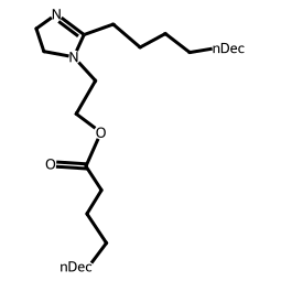 CCCCCCCCCCCCCCC1=NCCN1CCOC(=O)CCCCCCCCCCCCC